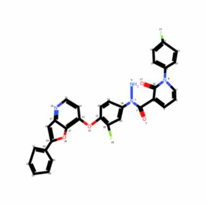 NN(C(=O)c1cccn(-c2ccc(F)cc2)c1=O)c1ccc(Oc2ccnc3cc(-c4ccccc4)oc23)c(F)c1